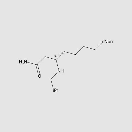 CCCCCCCCCCCCC[C@@H](CC(N)=O)NCC(C)C